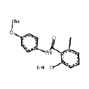 Cc1cccc(Cl)c1C(=O)Pc1ccc(OC(C)(C)C)cc1.[LiH]